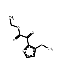 CCOC(=O)C(=O)c1sccc1SC